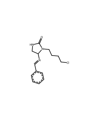 O=C1NCC(N=Cc2ccccc2)N1CCCCCl